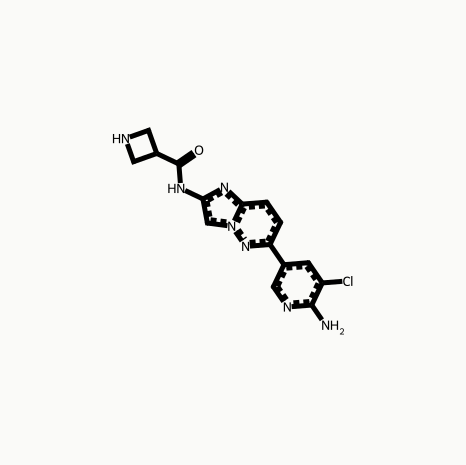 Nc1ncc(-c2ccc3nc(NC(=O)C4CNC4)cn3n2)cc1Cl